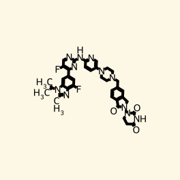 Cc1nc2c(F)cc(-c3nc(Nc4ccc(N5CCN(Cc6ccc7c(c6)CN(N6CCC(=O)NC6=O)C7=O)CC5)cn4)ncc3F)cc2n1C(C)C